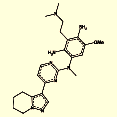 COc1cc(N(C)c2nccc(-c3cnn4c3CCCC4)n2)c(N)c(CCN(C)C)c1N